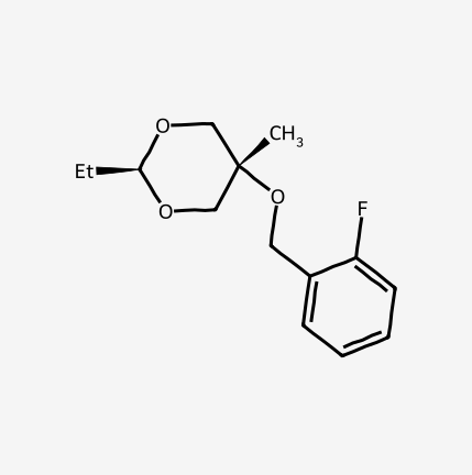 CC[C@H]1OC[C@](C)(OCc2ccccc2F)CO1